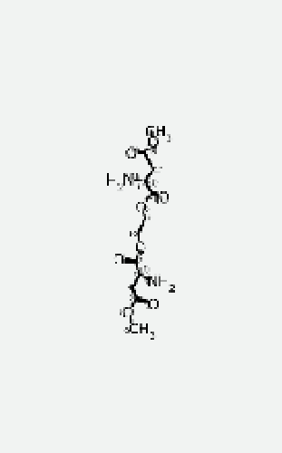 COC(=O)C[C@H](N)C(=O)OCCOC(=O)[C@@H](N)CC(=O)OC